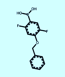 OB(O)c1cc(F)c(OCc2ccccc2)cc1F